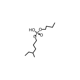 CCCCOP(=O)(O)OCCCC(C)CC